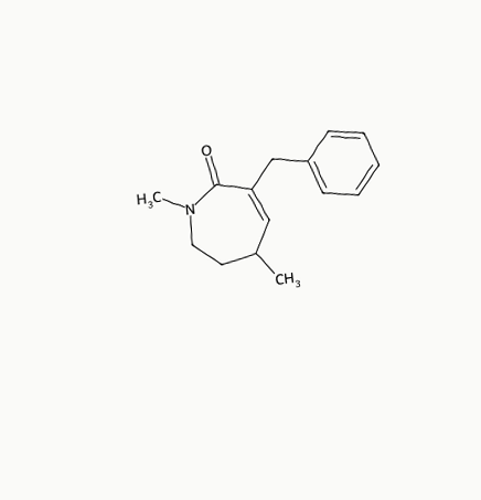 CC1C=C(Cc2ccccc2)C(=O)N(C)CC1